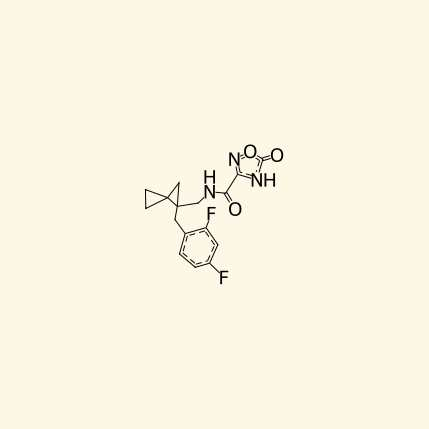 O=C(NCC1(Cc2ccc(F)cc2F)CC12CC2)c1noc(=O)[nH]1